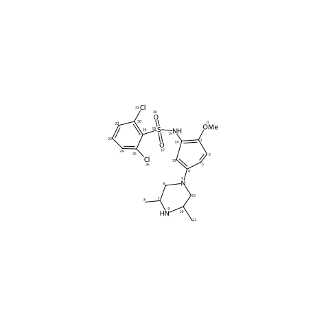 COc1ccc(N2CC(C)NC(C)C2)cc1NS(=O)(=O)c1c(Cl)cccc1Cl